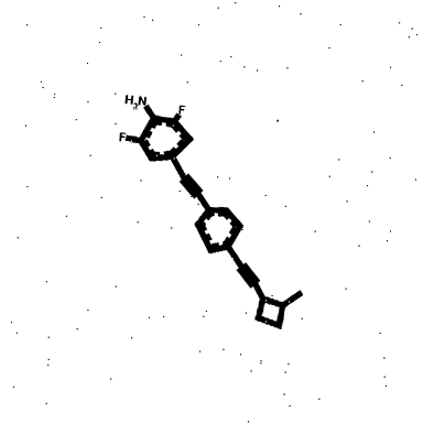 CC1CCC1C#Cc1ccc(C#Cc2cc(F)c(N)c(F)c2)cc1